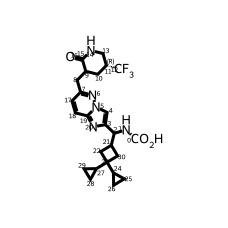 O=C(O)NC(c1cn2nc(CC3C[C@@H](C(F)(F)F)CNC3=O)ccc2n1)C1CC(C2CC2)(C2CC2)C1